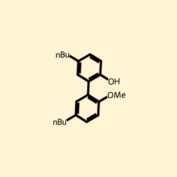 CCCCc1ccc(O)c(-c2cc(CCCC)ccc2OC)c1